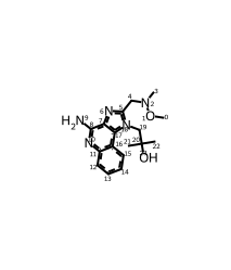 CON(C)Cc1nc2c(N)nc3ccccc3c2n1CC(C)(C)O